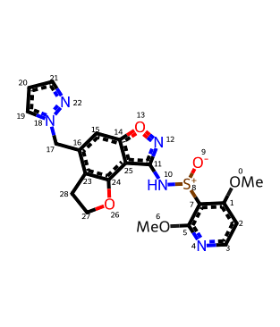 COc1ccnc(OC)c1[S+]([O-])Nc1noc2cc(Cn3cccn3)c3c(c12)OCC3